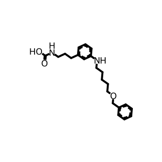 O=C(O)NCCCc1cccc(NCCCCCOCc2ccccc2)c1